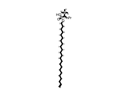 C=CCCCCCCCCCCCCCCCCCCCCCOP(=O)(O)C(CCC)[N+](C)(C)C